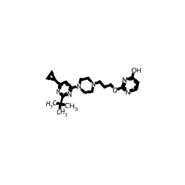 CC(C)(C)c1nc(C2CC2)cc(N2CCN(CCCOc3nccc(O)n3)CC2)n1